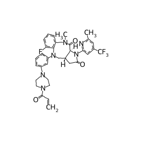 C=CC(=O)N1CCN(c2cccc(N3C[C@H]4CC(=O)N(c5cc(C(F)(F)F)cc(C)n5)[C@@H]4C(=O)N(C)c4cccc(F)c43)c2)CC1